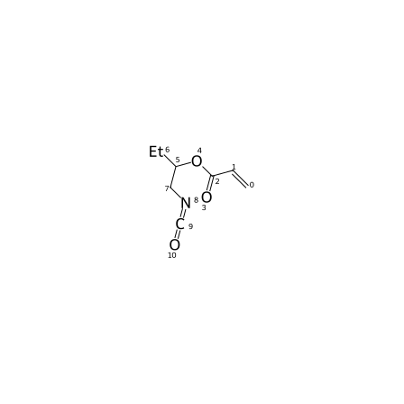 C=CC(=O)OC(CC)CN=C=O